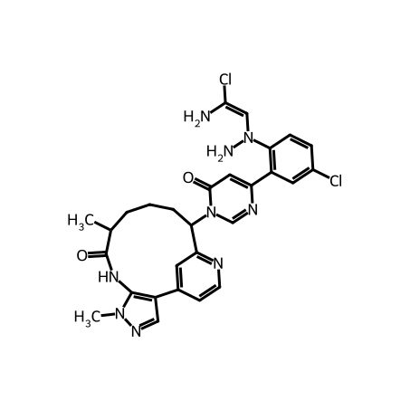 CC1CCCC(n2cnc(-c3cc(Cl)ccc3N(N)/C=C(\N)Cl)cc2=O)c2cc(ccn2)-c2cnn(C)c2NC1=O